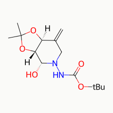 C=C1CN(NC(=O)OC(C)(C)C)[C@H](O)[C@@H]2OC(C)(C)O[C@@H]12